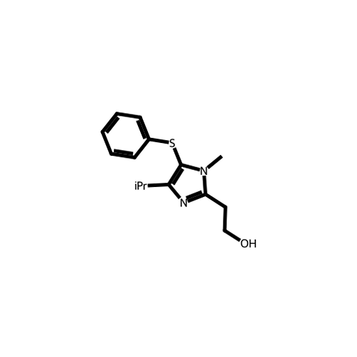 CC(C)c1nc(CCO)n(C)c1Sc1ccccc1